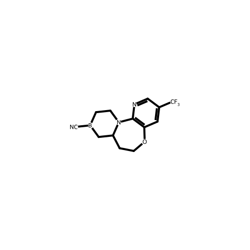 N#CB1CCN2c3ncc(C(F)(F)F)cc3OCCC2C1